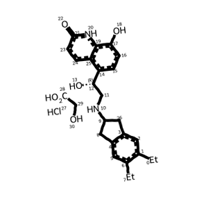 CCc1cc2c(cc1CC)CC(NC[C@H](O)c1ccc(O)c3[nH]c(=O)ccc13)C2.Cl.O=C(O)CO